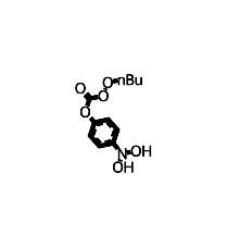 CCCCOOC(=O)Oc1ccc(N(O)O)cc1